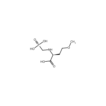 COCC[C@H](NCP(=O)(O)O)C(=O)O